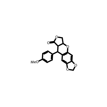 COc1ccc(C2c3cc4c(cc3OC3COC(=O)C32)OCO4)cc1